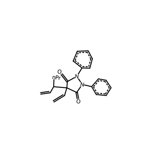 C=CC(CCC)C1(C=C)C(=O)N(c2ccccc2)N(c2ccccc2)C1=O